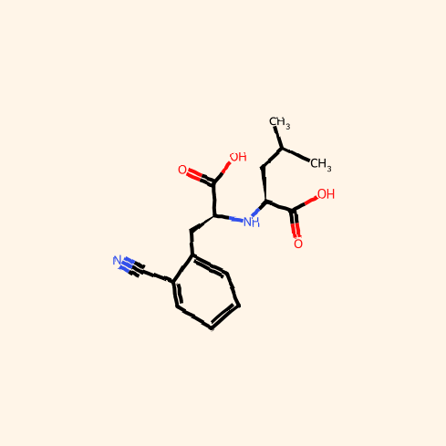 CC(C)C[C@H](N[C@@H](Cc1ccccc1C#N)C(=O)O)C(=O)O